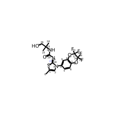 Cc1cn(-c2ccc3c(c2)OC(F)(F)C(F)(F)O3)/c(=N/C(=O)NC(C)(C)CO)s1